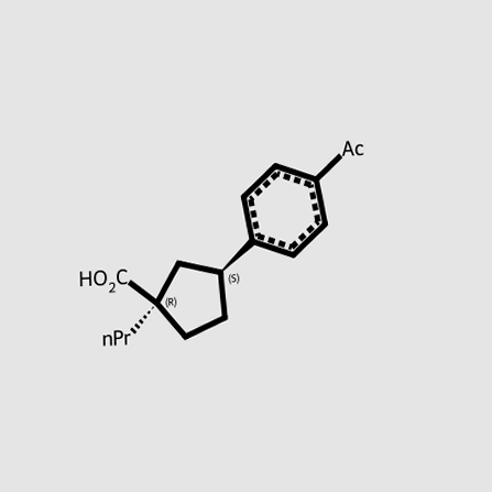 CCC[C@@]1(C(=O)O)CC[C@H](c2ccc(C(C)=O)cc2)C1